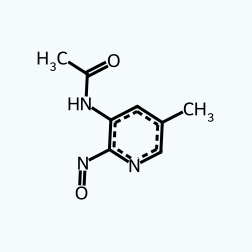 CC(=O)Nc1cc(C)cnc1N=O